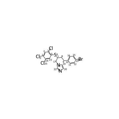 Clc1cc(Cl)c(SC(CCc2ccc(Br)cc2)Cn2ccnc2)cc1Cl